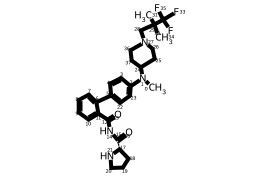 CN(c1ccc(-c2ccccc2C(=O)NC(=O)[C@@H]2CCCN2)cc1)C1CCN(CC(C)(C)C(F)(F)F)CC1